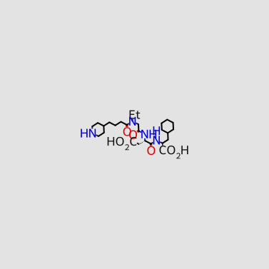 CCN(CC(=O)N[C@@H](CC(=O)O)C(=O)N[C@@H](CC1CCCCC1)C(=O)O)C(=O)CCCC1CCNCC1